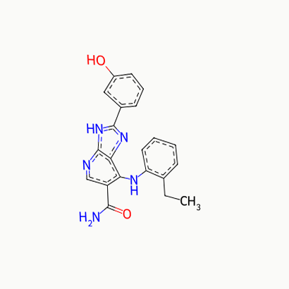 CCc1ccccc1Nc1c(C(N)=O)cnc2[nH]c(-c3cccc(O)c3)nc12